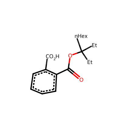 CCCCCCC(CC)(CC)OC(=O)c1ccccc1C(=O)O